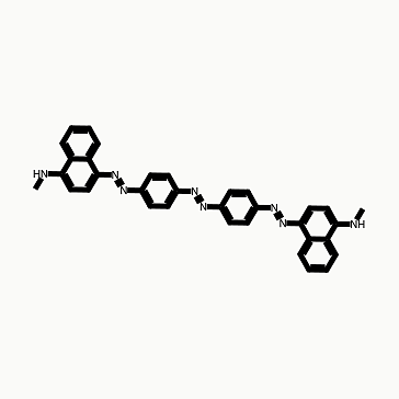 CNc1ccc(N=Nc2ccc(N=Nc3ccc(N=Nc4ccc(NC)c5ccccc45)cc3)cc2)c2ccccc12